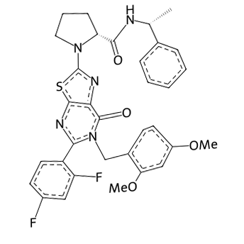 COc1ccc(Cn2c(-c3ccc(F)cc3F)nc3sc(N4CCC[C@@H]4C(=O)N[C@H](C)c4ccccc4)nc3c2=O)c(OC)c1